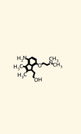 CC1=C(C)C(CCO)c2c(OCCN(C)C)ccc(N)c21